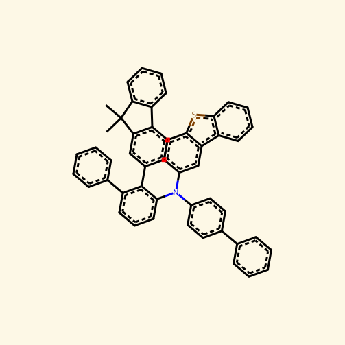 CC1(C)c2ccccc2-c2ccc(-c3c(-c4ccccc4)cccc3N(c3ccc(-c4ccccc4)cc3)c3ccc4sc5ccccc5c4c3)cc21